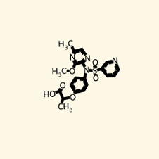 COc1nc(C)cnc1N(c1ccc(OC(C)C(=O)O)cc1)S(=O)(=O)c1cccnc1